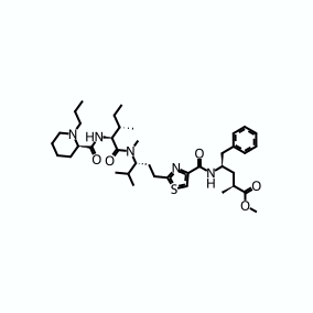 CCCN1CCCC[C@@H]1C(=O)N[C@H](C(=O)N(C)[C@H](CCc1nc(C(=O)N[C@@H](Cc2ccccc2)C[C@H](C)C(=O)OC)cs1)C(C)C)[C@@H](C)CC